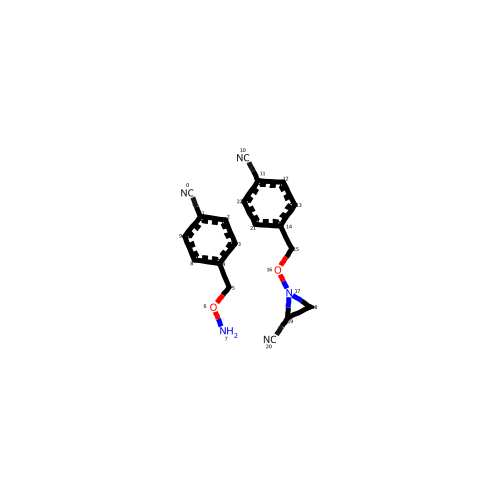 N#Cc1ccc(CON)cc1.N#Cc1ccc(CON2CC2C#N)cc1